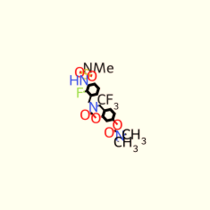 CNS(=O)(=O)Nc1cccc(CN2C(=O)Oc3cc(OC(=O)N(C)C)ccc3[C@@H]2C(F)(F)F)c1F